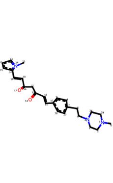 CN1CCN(CCc2ccc(C=CC(=O)CC(=O)C=Cc3cccn3C)cc2)CC1